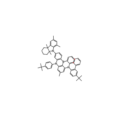 Cc1cc2c3c(c1)N(c1ccc(C(C)(C)C)cc1-c1ccccc1)c1ccccc1B3c1ccc(N3c4c(C)cc(C)cc4C4(C)CCCCC34C)cc1N2c1ccc(C(C)(C)C)cc1